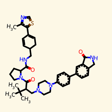 Cc1ncsc1C1=CCC(CNC(=O)C2CCCN2C(=O)C(CN2CCN(c3ccc(-c4ccc5c(c4)C(=O)NC5)cc3)CC2)C(C)(C)C)C=C1